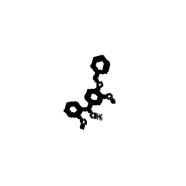 COc1cc(C(O)c2ccccc2OC)ccc1OCC1C=CC=CC1